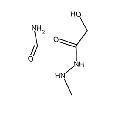 CNNC(=O)CO.NC=O